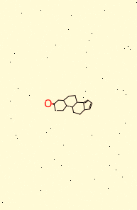 O=C1CCC2C(CCC3C4=CC=CC4CCC32)C1